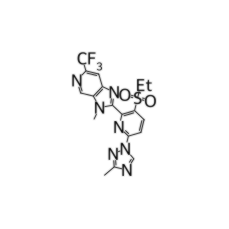 CCS(=O)(=O)c1ccc(-n2cnc(C)n2)nc1-c1nc2cc(C(F)(F)F)ncc2n1C